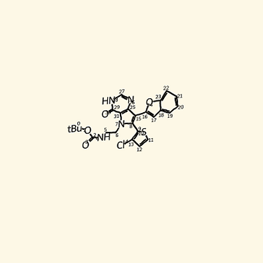 CC(C)(C)OC(=O)NCCn1c(-c2sccc2Cl)c(-c2cc3ccccc3o2)c2nc[nH]c(=O)c21